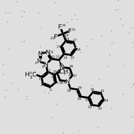 Cc1cccc(C)c1-n1nnnc1[C@@H](c1cccc(C(F)(F)F)c1)N1CCN(C/C=C/c2ccccc2)CC1